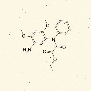 CCOC(=O)C(=O)N(c1ccccc1)c1cc(N)c(OC)cc1OC